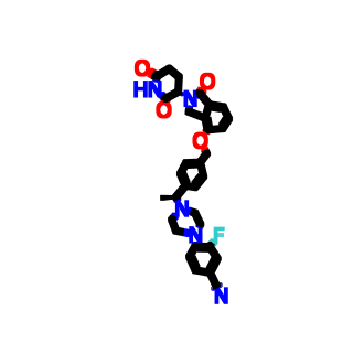 C[C@@H](c1ccc(COc2cccc3c2CN([C@H]2CCC(=O)NC2=O)C3=O)cc1)N1CCN(c2ccc(C#N)cc2F)CC1